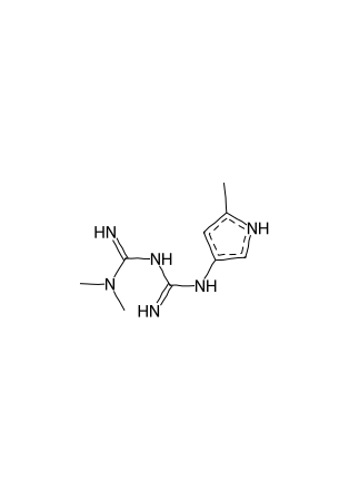 Cc1cc(NC(=N)NC(=N)N(C)C)c[nH]1